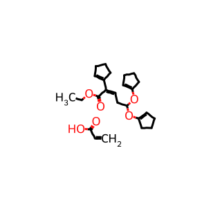 C=CC(=O)O.CCOC(=O)C(=CCC(OC1=CCCC1)OC1=CCCC1)C1=CCCC1